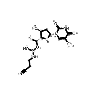 [2H]C(OP(O)NCCC#N)[C@H]1O[C@@H](n2cc(C)c(=O)[nH]c2=O)C[C@@H]1O